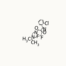 CC(C)N1CCN(C(=O)c2c(-c3ccccc3Cl)noc2C(F)F)CC1